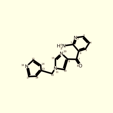 Nc1ncccc1C(=O)c1cn(Cc2ccncc2)cn1